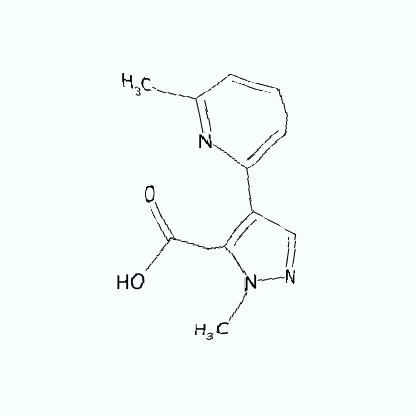 Cc1cccc(-c2cnn(C)c2C(=O)O)n1